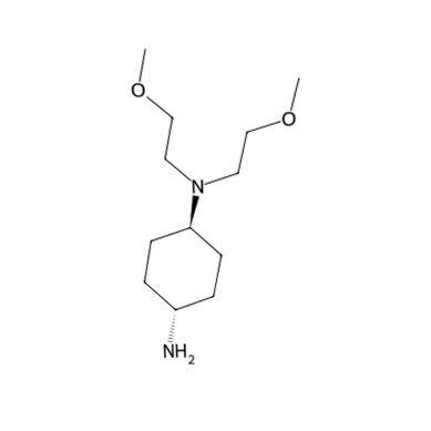 COCCN(CCOC)[C@H]1CC[C@H](N)CC1